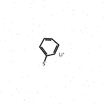 [Li+].[S-]c1ccccc1